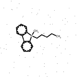 CCCCC[P]1(C)c2ccccc2-c2ccccc21